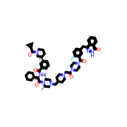 C[C@@H]1CN(CC2CCN(CC(=O)N3CCN(C(=O)c4cc(Cc5n[nH]c(=O)c6ccccc56)ccc4F)CC3)CC2)C[C@H](C)N1C(=O)[C@H](NC(=O)c1cccc([C@@H]2CCCN(C(=O)C3CC3)C2)c1)C1CCCCC1